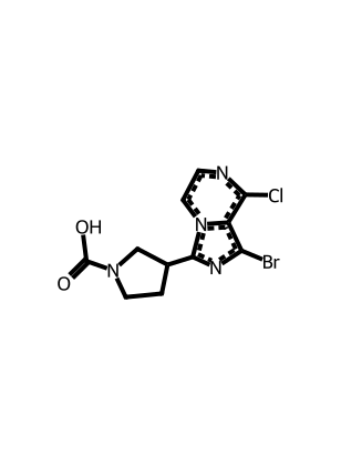 O=C(O)N1CCC(c2nc(Br)c3c(Cl)nccn23)C1